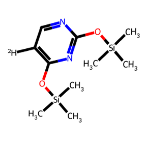 [2H]c1cnc(O[Si](C)(C)C)nc1O[Si](C)(C)C